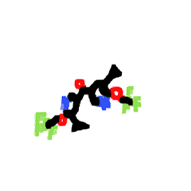 O=C(c1cnc(OCC(F)(F)F)c(C2CC2)c1)c1cnc(OCC(F)(F)F)c(C2CC2)c1